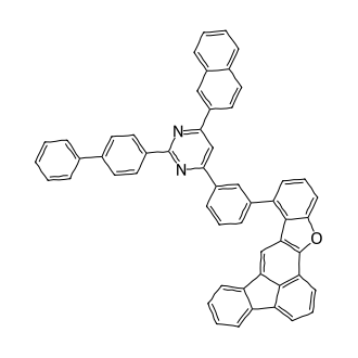 c1ccc(-c2ccc(-c3nc(-c4cccc(-c5cccc6oc7c8cccc9c8c(cc7c56)-c5ccccc5-9)c4)cc(-c4ccc5ccccc5c4)n3)cc2)cc1